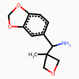 CC1(C(N)c2ccc3c(c2)OCO3)COC1